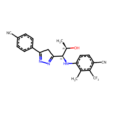 Cc1c(N[C@@H](C2=NN=C(c3ccc(C#N)cc3)C2)[C@@H](C)O)ccc(C#N)c1C(F)(F)F